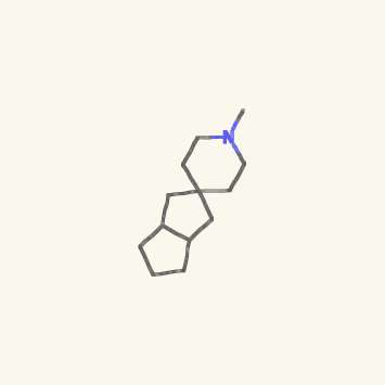 CN1CCC2(CC1)CC1CCCC1C2